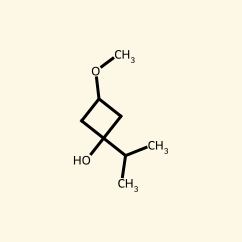 COC1CC(O)(C(C)C)C1